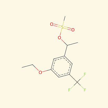 CCOc1cc(C(C)OS(C)(=O)=O)cc(C(F)(F)F)c1